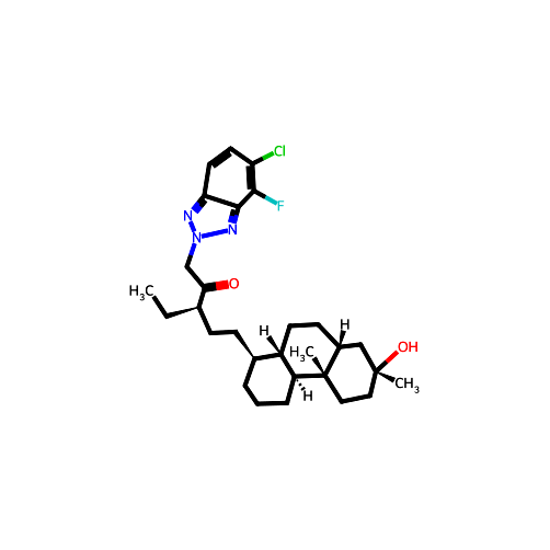 CC[C@H](CC[C@@H]1CCC[C@H]2[C@H]1CC[C@@H]1C[C@](C)(O)CC[C@@]12C)C(=O)Cn1nc2ccc(Cl)c(F)c2n1